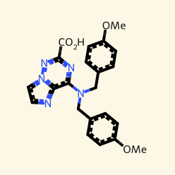 COc1ccc(CN(Cc2ccc(OC)cc2)c2nc(C(=O)O)nn3ccnc23)cc1